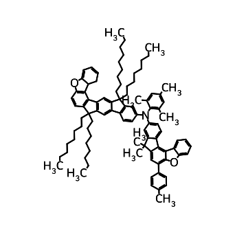 CCCCCCCCCC1(CCCCCCCC)c2cc(N(c3ccc4c(c3)C(C)(C)c3cc(-c5ccc(C)cc5)c5oc6ccccc6c5c3-4)c3c(C)cc(C)cc3C)ccc2-c2cc3c(cc21)-c1c(ccc2c1C1CC=CC=C1O2)C3(CCCCCCCC)CCCCCCCC